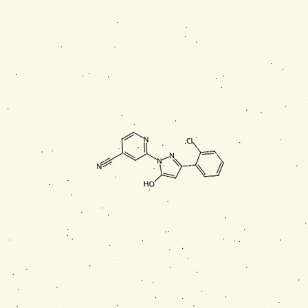 N#Cc1ccnc(-n2nc(-c3ccccc3Cl)cc2O)c1